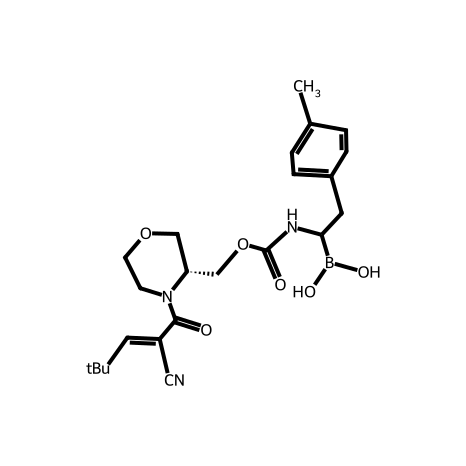 Cc1ccc(CC(NC(=O)OC[C@H]2COCCN2C(=O)C(C#N)=CC(C)(C)C)B(O)O)cc1